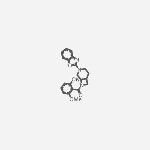 COc1cccc(OC)c1C(=O)N1CC2CCN(c3nc4ccccc4o3)CC21